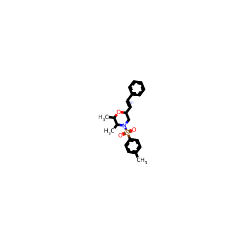 Cc1ccc(S(=O)(=O)N2CC(/C=C/c3ccccc3)OC(C)C2C)cc1